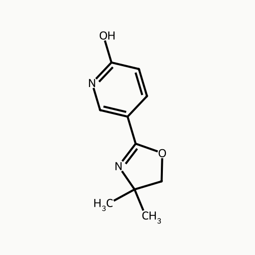 CC1(C)COC(c2ccc(O)nc2)=N1